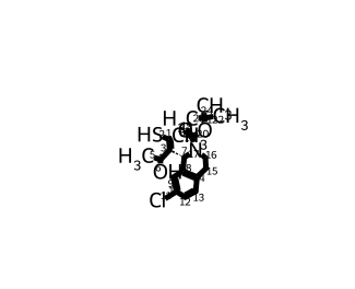 C/C(S)=C(/C(C)O)[C@H]1c2cc(Cl)ccc2CCN1C(=O)OC(C)(C)C